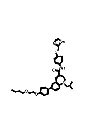 CCCCOCCOc1ccc(-c2ccc3c(c2)C=C(C(=O)Nc2ccc(SCc4nccn4C)cc2)CCN3CC(C)C)cc1